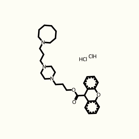 Cl.Cl.O=C(OCCCN1CCN(CCCN2CCCCCCC2)CC1)C1c2ccccc2Oc2ccccc21